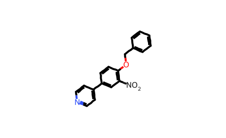 O=[N+]([O-])c1cc(-c2ccncc2)ccc1OCc1ccccc1